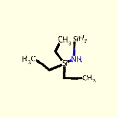 CC[Si](CC)(CC)N[SiH3]